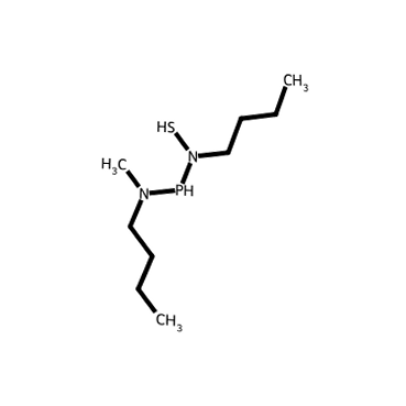 CCCCN(C)PN(S)CCCC